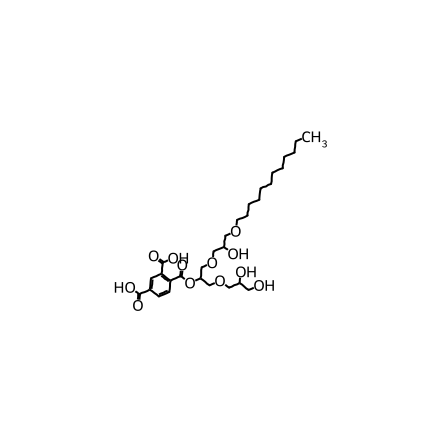 CCCCCCCCCCCCOCC(O)COCC(COCC(O)CO)OC(=O)c1ccc(C(=O)O)cc1C(=O)O